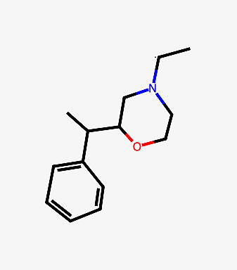 C[CH]N1CCOC(C(C)c2ccccc2)C1